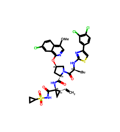 C=C[C@@H]1C[C@]1(NC(=O)[C@@H]1C[C@@H](Oc2ncc(OC)c3ccc(Cl)cc23)CN1C(=O)[C@@H](Nc1nc(-c2ccc(Cl)c(Cl)c2)cs1)C(C)(C)C)C(=O)NS(=O)(=O)C1CC1